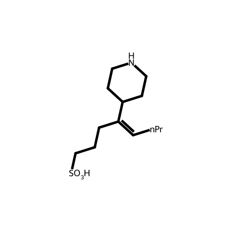 CCC/C=C(/CCCS(=O)(=O)O)C1CCNCC1